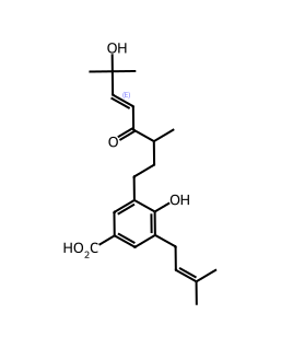 CC(C)=CCc1cc(C(=O)O)cc(CCC(C)C(=O)/C=C/C(C)(C)O)c1O